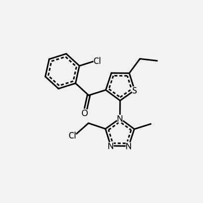 CCc1cc(C(=O)c2ccccc2Cl)c(-n2c(C)nnc2CCl)s1